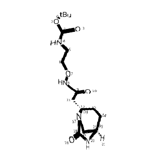 CC(C)(C)OC(=O)NCCONC(=O)C[C@@H]1CC[C@@H]2CN1C(=O)N2